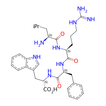 CC(C)C[C@H](N)C(=O)N[C@@H](CCCNC(=N)N)C(=O)N[C@@H](Cc1ccccc1)C(=O)N[C@@H](Cc1c[nH]c2ccccc12)C(=O)O